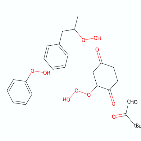 CC(C)(C)C(=O)C=O.CC(Cc1ccccc1)OO.O=C1CCC(=O)C(OOO)C1.OOc1ccccc1